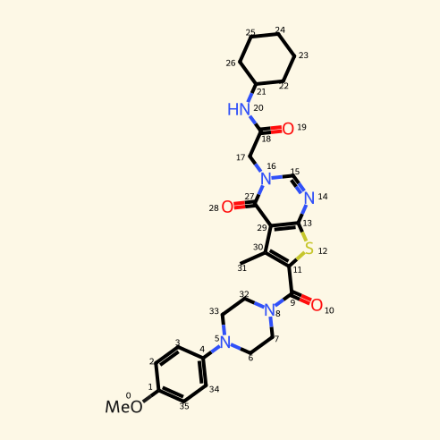 COc1ccc(N2CCN(C(=O)c3sc4ncn(CC(=O)NC5CCCCC5)c(=O)c4c3C)CC2)cc1